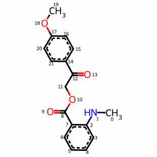 CNc1ccccc1C(=O)OCC(=O)c1ccc(OC)cc1